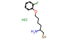 Cl.NC(CS)CCCCOc1ccccc1F